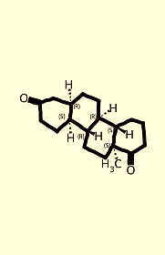 C[C@]12CC[C@H]3[C@@H](CC[C@@H]4CC(=O)CC[C@@H]43)[C@@H]1CCCC2=O